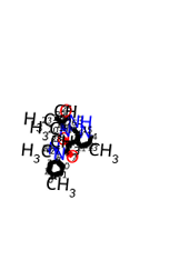 Cc1ccc(N(C(=O)C(=O)c2cc(C)cnc2C2=NC(C)(C(C)C)C(=O)N2)N(C)C)cc1